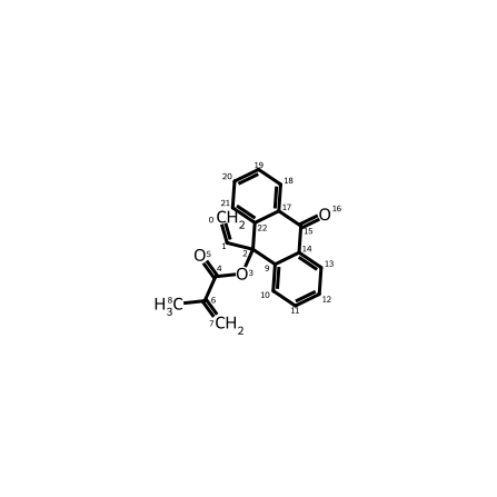 C=CC1(OC(=O)C(=C)C)c2ccccc2C(=O)c2ccccc21